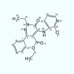 CCOC(=O)c1c(-c2ccccc2)nn(CC)c(=O)c1Nc1cccnc1Cl